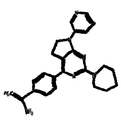 C=C(N)c1ccc(-c2nc(N3CCCCC3)nc3c2CCN3c2cccnc2)cc1